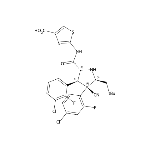 CC(C)(C)C[C@@H]1N[C@@H](C(=O)Nc2nc(C(=O)O)cs2)[C@H](c2cccc(Cl)c2F)[C@@]1(C#N)c1ccc(Cl)cc1F